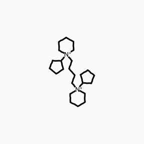 C1CC[N+](CCCC[N+]2(C3CCCC3)CCCCC2)(C2CCCC2)CC1